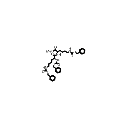 COC(=O)C(CCCCNC(=O)OCc1ccccc1)NC(=O)C(CCCCNC(=O)OCc1ccccc1)NC(=O)OCc1ccccc1